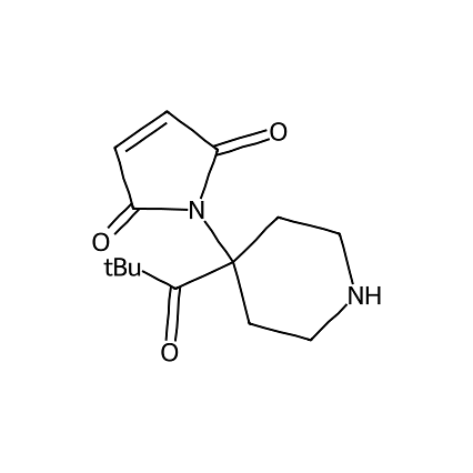 CC(C)(C)C(=O)C1(N2C(=O)C=CC2=O)CCNCC1